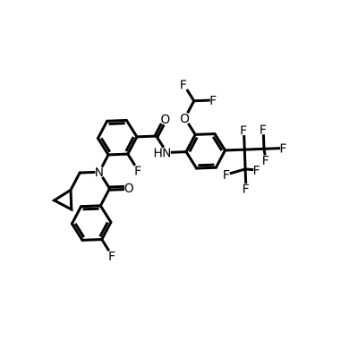 O=C(Nc1ccc(C(F)(C(F)(F)F)C(F)(F)F)cc1OC(F)F)c1cccc(N(CC2CC2)C(=O)c2cccc(F)c2)c1F